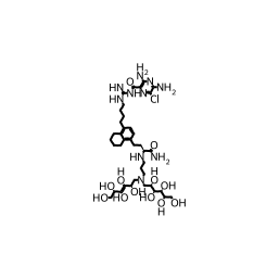 N=C(NCCCCc1ccc(CC[C@H](NCCCN(C[C@H](O)/C(O)=C(\O)[C@H](O)CO)C[C@H](O)[C@@H](O)[C@H](O)[C@H](O)CO)C(N)=O)c2c1CCCC2)NC(=O)c1nc(Cl)c(N)nc1N